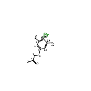 C=C(C)CCc1cc(C)c(Br)c(C)c1